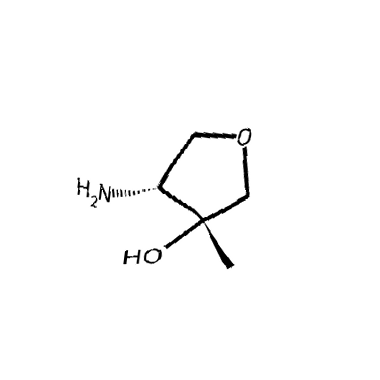 C[C@]1(O)COC[C@H]1N